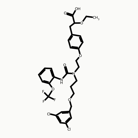 CCOC(Cc1ccc(OCCN(CCCOCc2cc(Cl)cc(Cl)c2)C(=O)Nc2ccccc2OC(F)(F)F)cc1)C(=O)O